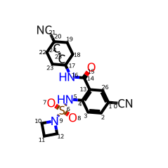 N#Cc1ccc(NS(=O)(=O)N2CCC2)c(C(=O)NC23CCC(C#N)(CC2)CC3)c1